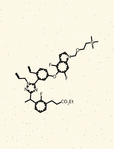 C=CCn1nc(C(C)c2cccc(CCC(=O)OCC)c2F)nc1-c1cc(Oc2c(F)cc3c(ccn3COCC[Si](C)(C)C)c2F)ccc1C=C